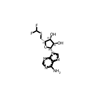 Nc1ncnc2c1ncn2[C@@H]1O[C@H](CSC(F)F)[C@@H](O)[C@H]1O